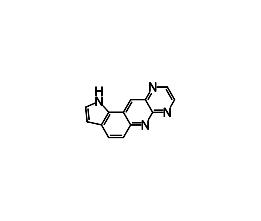 c1cnc2nc3ccc4cc[nH]c4c3cc2n1